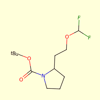 CC(C)(C)OC(=O)N1CCCC1CCOC(F)F